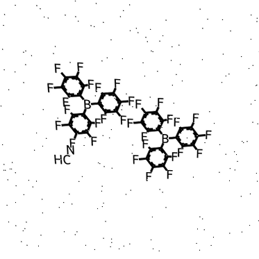 C#N.Fc1c(F)c(F)c(B(c2c(F)c(F)c(F)c(F)c2F)c2c(F)c(F)c(F)c(F)c2F)c(F)c1F.Fc1c(F)c(F)c(B(c2c(F)c(F)c(F)c(F)c2F)c2c(F)c(F)c(F)c(F)c2F)c(F)c1F